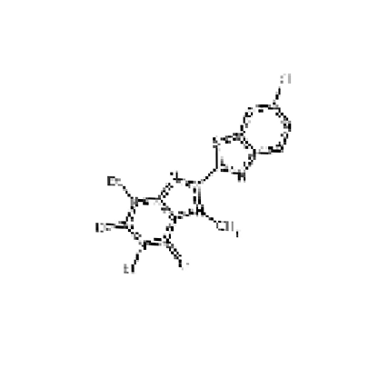 CCn1c(=O)c2c(nc(-c3nc4ccc(Cl)cc4s3)n2C)n(CC)c1=O